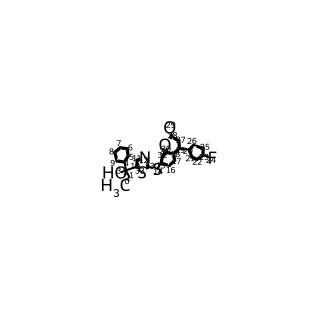 CCC(O)(c1ccccc1)c1cnc(Sc2ccc3c(-c4ccc(F)cc4)cc(=O)oc3c2)s1